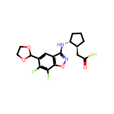 O=C(S)C[C@@H]1CCC[C@H]1Nc1noc2c(F)c(F)c(C3OCCO3)cc12